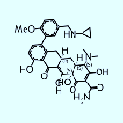 COc1ccc(CNC2CC2)cc1-c1ccc(O)c2c1C[C@H]1C[C@H]3[C@H](N(C)C)C(O)=C(C(N)=O)C(=O)[C@@]3(O)C(O)=C1C2=O